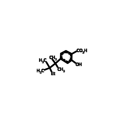 CCC(C)(C)C(C)(C)c1ccc(C(=O)O)c(O)c1